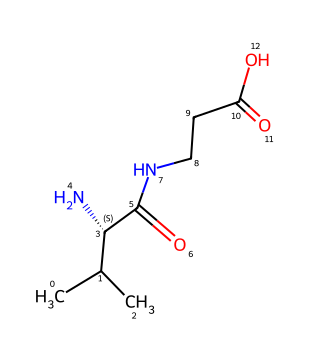 CC(C)[C@H](N)C(=O)NCCC(=O)O